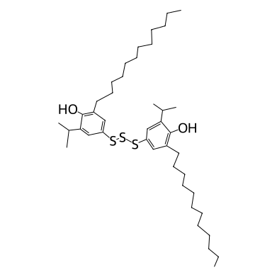 CCCCCCCCCCCCc1cc(SSSc2cc(CCCCCCCCCCCC)c(O)c(C(C)C)c2)cc(C(C)C)c1O